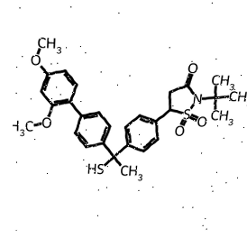 COc1ccc(-c2ccc(C(C)(S)c3ccc(C4CC(=O)N(C(C)(C)C)S4(=O)=O)cc3)cc2)c(OC)c1